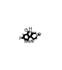 CNC1C[S+]([O-])Cc2[nH]c(=O)c3cc(F)ccc3c21